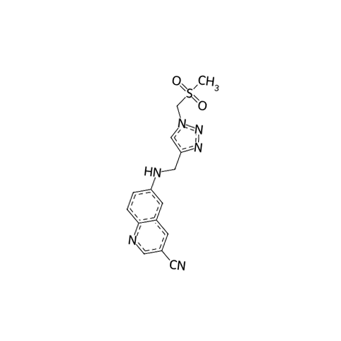 CS(=O)(=O)Cn1cc(CNc2ccc3ncc(C#N)cc3c2)nn1